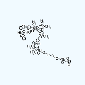 CCC1(Cn2ncc(-c3ccc(N4CCc5cccc(C(=O)Nc6nc7ccccc7s6)c5C4)nc3C(=O)O)c2C)CC2(C)CC(C)CC(OCCN(C)C(=O)OCc3ccc(NC(=O)[C@H](C)NC(=O)[C@H](C)NC(=O)CCOCCOCCOCCOCCNC(=O)CCN4C(=O)C=CC4=O)cc3)(C2)C1